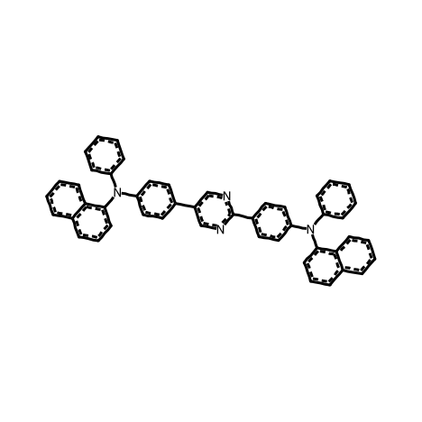 c1ccc(N(c2ccc(-c3cnc(-c4ccc(N(c5ccccc5)c5cccc6ccccc56)cc4)nc3)cc2)c2cccc3ccccc23)cc1